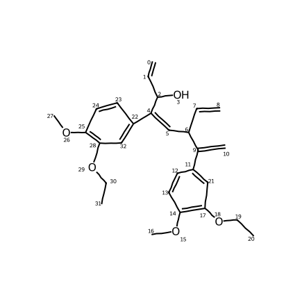 C=CC(O)C(=CC(C=C)C(=C)c1ccc(OC)c(OCC)c1)c1ccc(OC)c(OCC)c1